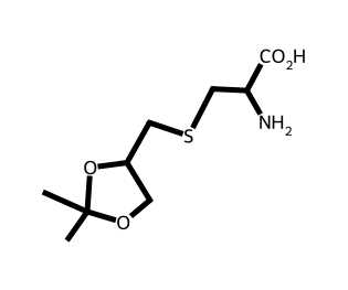 CC1(C)OCC(CSCC(N)C(=O)O)O1